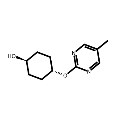 Cc1cnc(O[C@H]2CC[C@H](O)CC2)nc1